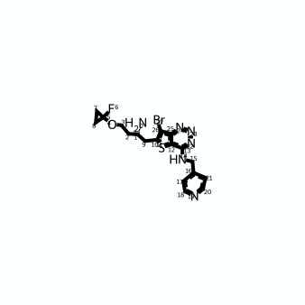 N[C@@H](CCOC1(F)CC1)Cc1sc2c(NCc3ccncc3)nnnc2c1Br